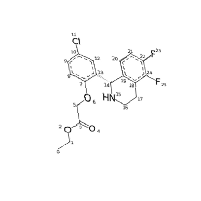 CCOC(=O)COc1ccc(Cl)cc1[C@H]1NCCc2c1ccc(F)c2F